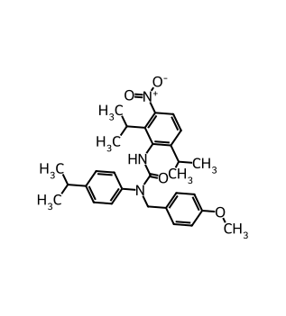 COc1ccc(CN(C(=O)Nc2c(C(C)C)ccc([N+](=O)[O-])c2C(C)C)c2ccc(C(C)C)cc2)cc1